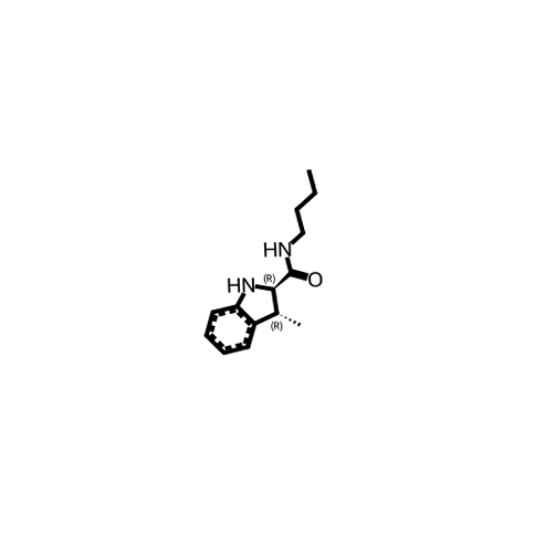 CCCCNC(=O)[C@@H]1Nc2ccccc2[C@H]1C